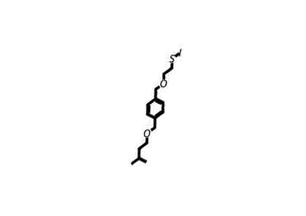 CC(C)CCOCc1ccc(COCCSI)cc1